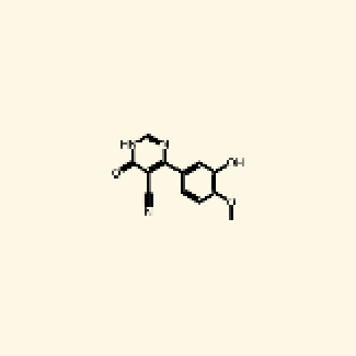 COc1ccc(-c2nc[nH]c(=O)c2C#N)cc1O